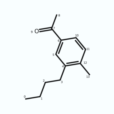 CCCCc1cc(C(C)=O)ccc1C